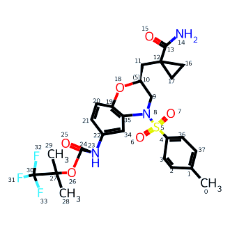 Cc1ccc(S(=O)(=O)N2C[C@H](CC3(C(N)=O)CC3)Oc3ccc(NC(=O)OC(C)(C)C(F)(F)F)cc32)cc1